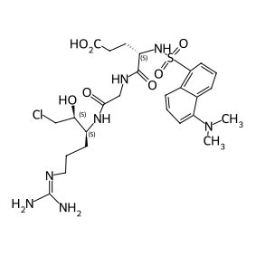 CN(C)c1cccc2c(S(=O)(=O)N[C@@H](CCC(=O)O)C(=O)NCC(=O)N[C@@H](CCCN=C(N)N)[C@H](O)CCl)cccc12